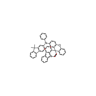 CC1(C)c2ccccc2-c2ccc(N(c3ccccc3)c3ccc4c(c3)C3(c5ccccc5O4)c4ccccc4-n4c5ccccc5c5cccc3c54)cc21